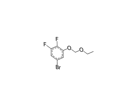 CCOCOc1cc(Br)cc(F)c1F